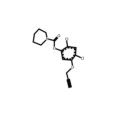 C#CCOc1cc(OC(=O)N2CCCCC2)c(Cl)cc1Cl